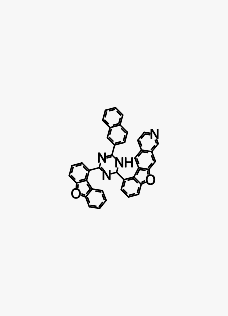 c1ccc2cc(C3=NC(c4cccc5oc6ccccc6c45)=NC(c4cccc5oc6cc7cnccc7cc6c45)N3)ccc2c1